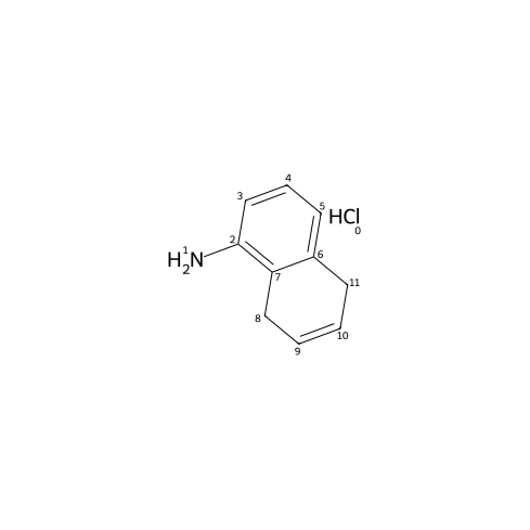 Cl.Nc1cccc2c1CC=CC2